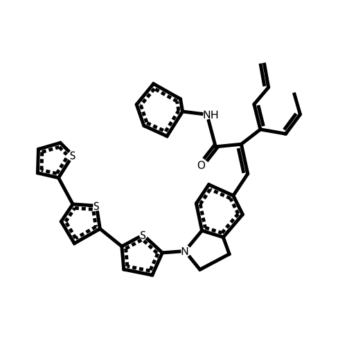 C=C/C=C(\C=C/C)C(=C/c1ccc2c(c1)CCN2c1ccc(-c2ccc(-c3cccs3)s2)s1)/C(=O)Nc1ccccc1